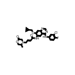 CC1COC(=O)CN1C/C=C/C(=O)Nc1cc2c(Nc3ccc(F)c(Cl)c3)ncnc2cc1OCC1CC1